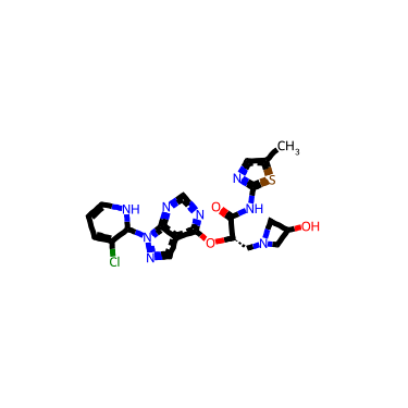 Cc1cnc(NC(=O)[C@H](CN2CC(O)C2)Oc2ncnc3c2cnn3C2NC=CC=C2Cl)s1